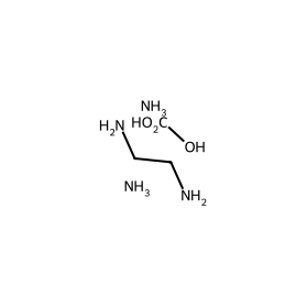 N.N.NCCN.O=C(O)O